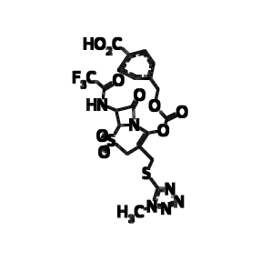 Cn1nnnc1SCC1=C(OC(=O)OCc2ccc(C(=O)O)cc2)N2C(=O)C(NC(=O)C(F)(F)F)C2S(=O)(=O)C1